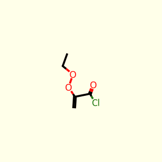 C=C(OOCC)C(=O)Cl